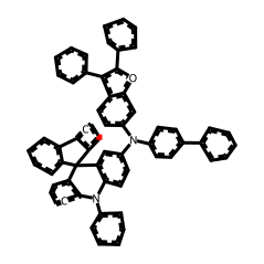 c1ccc(-c2ccc(N(c3ccc4c(c3)C3(c5ccccc5-c5ccccc53)c3ccccc3N4c3ccccc3)c3ccc4c(-c5ccccc5)c(-c5ccccc5)oc4c3)cc2)cc1